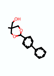 CC1(CO)COC(c2ccc(-c3ccccc3)cc2)OC1